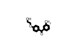 Cc1cccc(C(=O)c2ccc(OCCO)cc2)c1